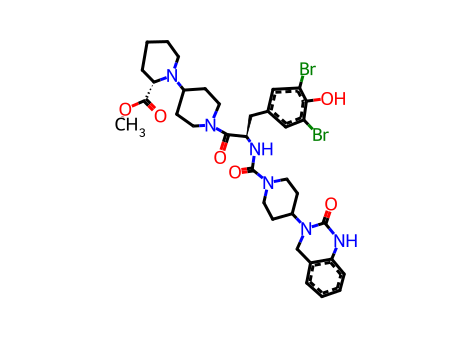 COC(=O)[C@@H]1CCCCN1C1CCN(C(=O)[C@@H](Cc2cc(Br)c(O)c(Br)c2)NC(=O)N2CCC(N3Cc4ccccc4NC3=O)CC2)CC1